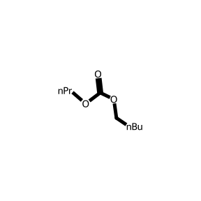 CCCCCOC(=O)OCCC